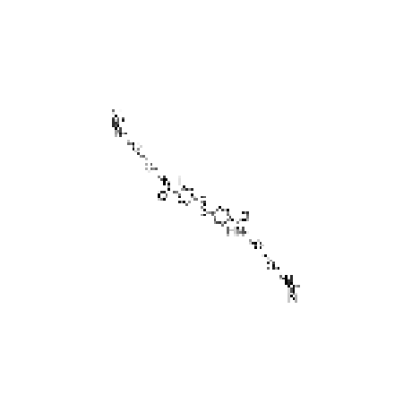 [N-]=[N+]=NCCOCCOCCNC(=O)c1ccc(SSc2ccc(C(=O)NCCOCCOCCN=[N+]=[N-])cc2)cc1